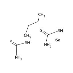 CCCC.NC(=S)S.NC(=S)S.[Se]